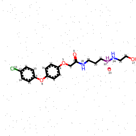 O=C(COc1ccc(Oc2ccc(Cl)cc2)cc1)NCCC[PH](=O)NCCO